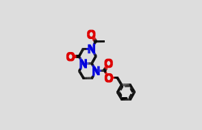 CC(=O)N1CC(=O)N2CCCN(C(=O)OCc3ccccc3)C2C1